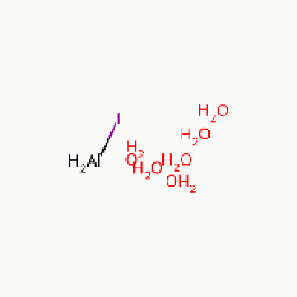 O.O.O.O.O.O.[AlH2][I]